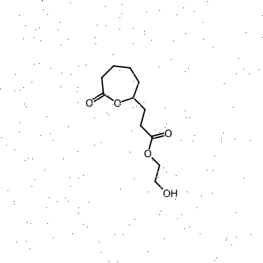 O=C(CCC1CCCCC(=O)O1)OCCO